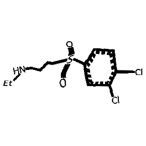 CCNCCS(=O)(=O)c1ccc(Cl)c(Cl)c1